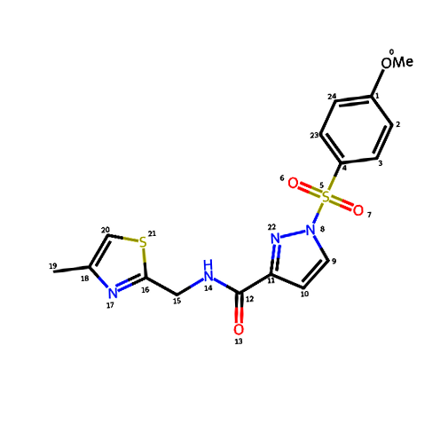 COc1ccc(S(=O)(=O)n2ccc(C(=O)NCc3nc(C)cs3)n2)cc1